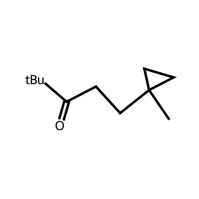 CC1(CCC(=O)C(C)(C)C)CC1